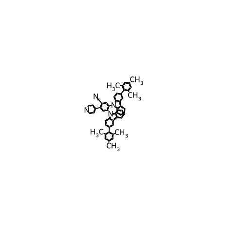 Cc1cc(C)c(-c2ccc3c(c2)c2ccccc2n3-c2cc(C#N)c(-c3ccncc3)cc2-n2c3ccccc3c3cc(-c4c(C)cc(C)cc4C)ccc32)c(C)c1